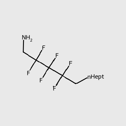 CCCCCCCCC(F)(F)C(F)(F)C(F)(F)CN